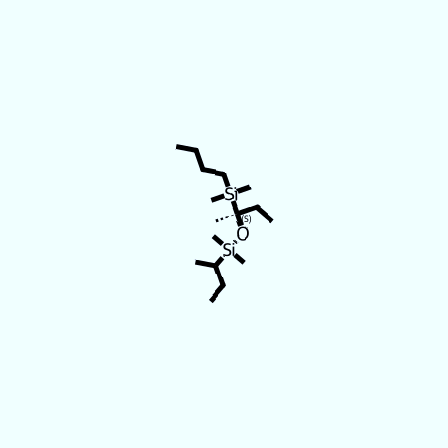 CCCC[Si](C)(C)[C@@](C)(CC)O[Si](C)(C)C(C)CC